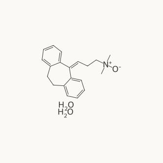 C[N+](C)([O-])CCC=C1c2ccccc2CCc2ccccc21.O.O